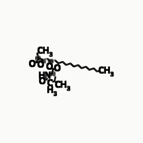 CCCCCCCCCCCCC[C@@H](C[C@@H]1OC(=O)[C@H]1CC)OC(=O)[C@H](CC(C)C)NC=O